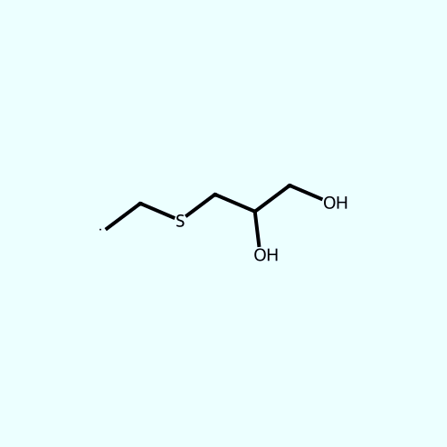 [CH2]CSCC(O)CO